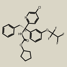 O=C(N[C@](Cc1ccccc1)(c1cccc(OC(F)(F)C(F)F)c1)c1ccc(Cl)cn1)OC1CCCC1